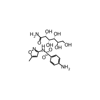 Cc1cc(NS(=O)(=O)c2ccc(N)cc2)no1.NC(=O)[C@H](O)[C@@H](O)[C@H](O)[C@H](O)CO